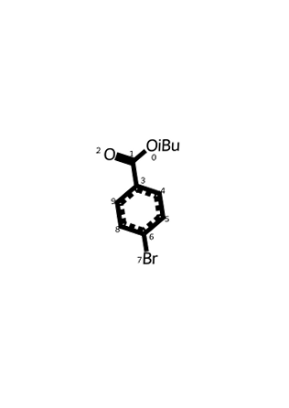 CC(C)COC(=O)c1ccc(Br)cc1